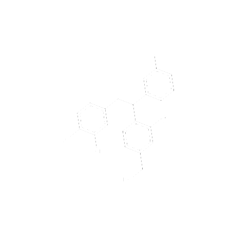 Cc1cccc(C(Cc2ccc(C)c(C)c2)c2ccc(CO)cc2Br)c1